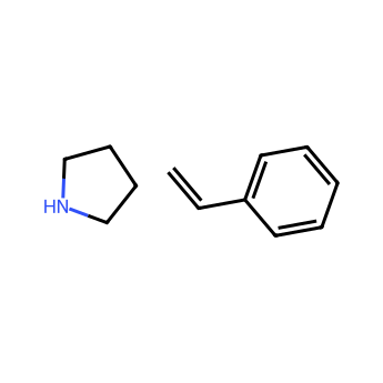 C1CCNC1.C=Cc1ccccc1